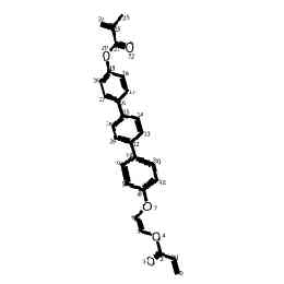 C=CC(=O)O/C=C\Oc1ccc(-c2ccc(-c3ccc(OC(=O)C(=C)C)cc3)cc2)cc1